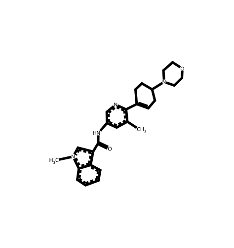 Cc1cc(NC(=O)c2cn(C)c3ccccc23)cnc1C1=CCC(N2CCOCC2)CC1